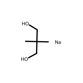 CC(C)(CO)CO.[Na]